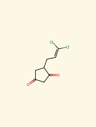 O=C1CC(=O)C(CC=C(Cl)Cl)C1